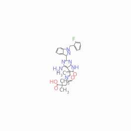 CC(C)(Cc1coc([C@@]2(C)C(=O)Nc3nc(-c4nn(Cc5ccccc5F)c5ccccc45)nc(N)c32)n1)C(=O)O